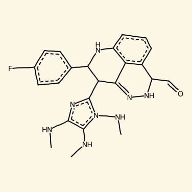 CNc1nc(C2C3=NNC(C=O)c4cccc(c43)NC2c2ccc(F)cc2)n(NC)c1NC